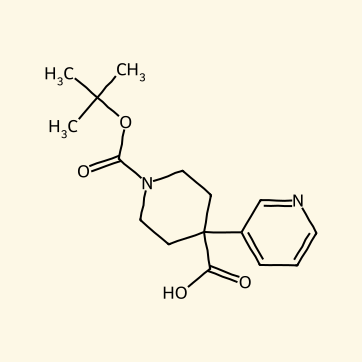 CC(C)(C)OC(=O)N1CCC(C(=O)O)(c2cccnc2)CC1